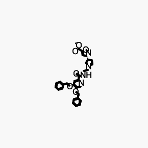 COC(=O)c1cc([C@@H]2CCN(CCNC(=O)c3cc(OCc4ccccc4)c(OCc4ccccc4)cn3)C2)no1